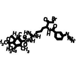 Cc1c(C)c(S(=O)(=O)NC(=N)NCCCC(NC(=O)c2cccc(N=[N+]=[N-])c2)C(=O)CBr)c(C)c2c1C(C)(C)OC2